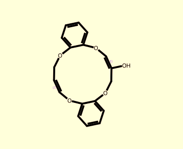 O/C1=C/Oc2ccccc2OC/C=C\Oc2ccccc2OC1